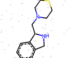 c1ccc2c(c1)CNC2CN1CCSCC1